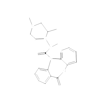 CC1CN(C)CCN1N(C)C(=O)N1c2ccccc2C(=O)Nc2cccnc21